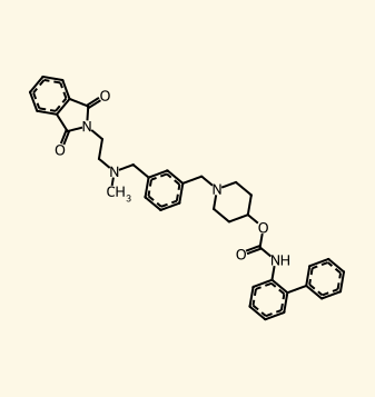 CN(CCN1C(=O)c2ccccc2C1=O)Cc1cccc(CN2CCC(OC(=O)Nc3ccccc3-c3ccccc3)CC2)c1